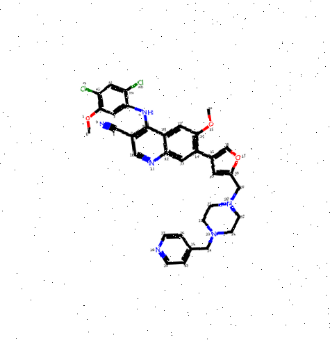 COc1cc(Nc2c(C#N)cnc3cc(-c4coc(CN5CCN(Cc6ccncc6)CC5)c4)c(OC)cc23)c(Cl)cc1Cl